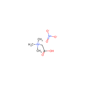 C[N+](C)(C)CC(=O)O.O=[N+]([O-])[O-]